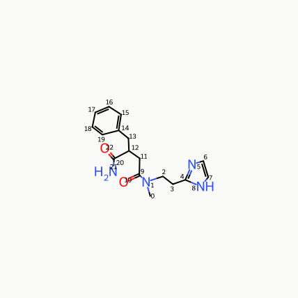 CN(CCc1ncc[nH]1)C(=O)CC(Cc1ccccc1)C(N)=O